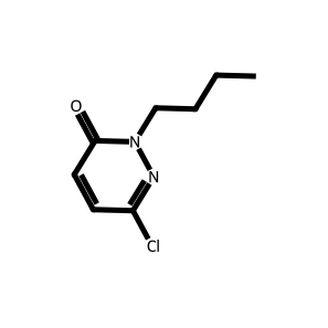 CCCCn1nc(Cl)ccc1=O